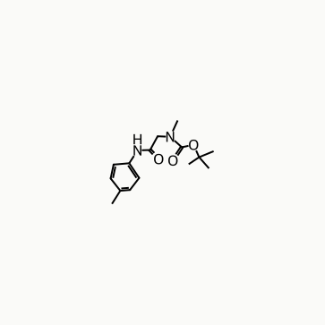 Cc1ccc(NC(=O)CN(C)C(=O)OC(C)(C)C)cc1